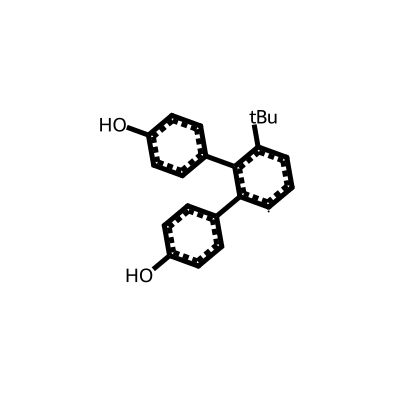 CC(C)(C)c1cc[c]c(-c2ccc(O)cc2)c1-c1ccc(O)cc1